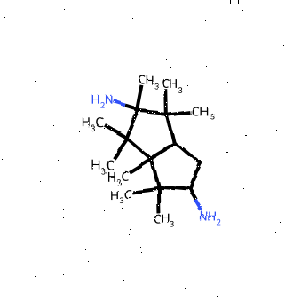 CC1(C)C2CC(N)C(C)(C)C2(C)C(C)(C)C1(C)N